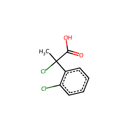 CC(Cl)(C(=O)O)c1ccccc1Cl